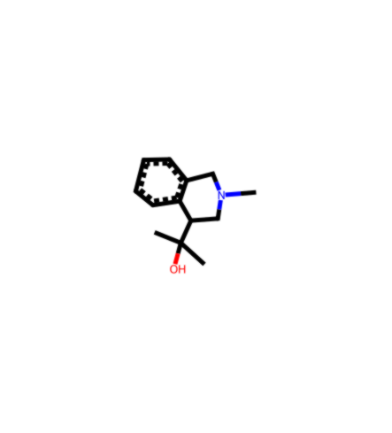 CN1Cc2ccccc2C(C(C)(C)O)C1